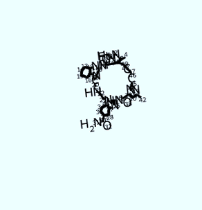 CCn1nc(C)c2c1C(=O)NC1Nc3ccccc3N1CCNCCn1c(nc3cc(C(N)=O)ccc31)NC(=O)c1cc(C)nn1CCCCC2